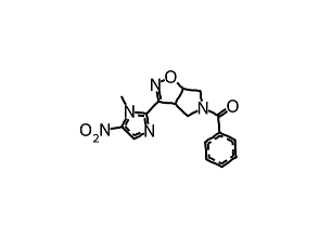 Cn1c([N+](=O)[O-])cnc1C1=NOC2CN(C(=O)c3ccccc3)CC12